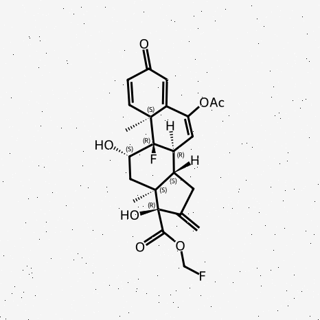 C=C1C[C@H]2[C@@H]3C=C(OC(C)=O)C4=CC(=O)C=C[C@]4(C)[C@@]3(F)[C@@H](O)C[C@]2(C)[C@@]1(O)C(=O)OCF